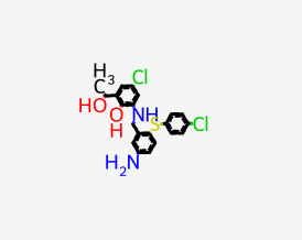 CC(O)c1cc(Cl)cc(NCc2cc(N)ccc2Sc2ccc(Cl)cc2)c1O